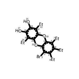 CCc1c(Br)c2c(c(CC)c1CC)Oc1c(CC)c(O)c(O)c(CC)c1O2